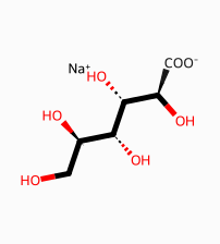 O=C([O-])[C@@H](O)[C@@H](O)[C@H](O)[C@H](O)CO.[Na+]